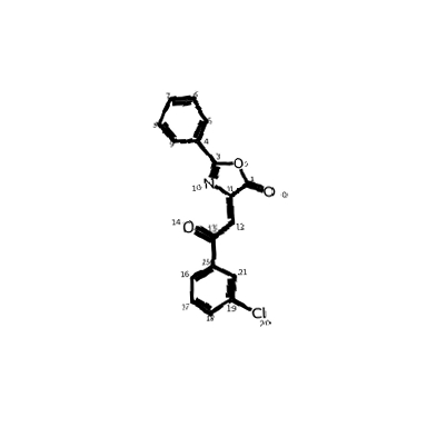 O=C1OC(c2ccccc2)=NC1=CC(=O)c1cccc(Cl)c1